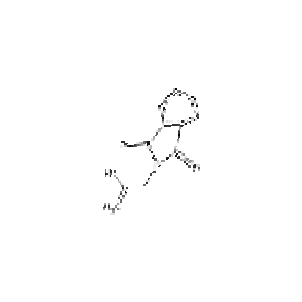 C=C(O)CN1C(=O)c2ccccc2C1=O